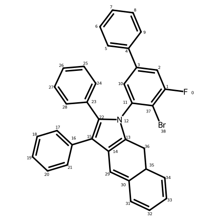 Fc1cc(-c2ccccc2)cc(-n2c3c(c(-c4ccccc4)c2-c2ccccc2)C=C2C=CC=CC2C3)c1Br